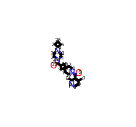 Cc1ccnc(C)c1C(=O)N1CCC2(CC1)CC(C(=O)N1CCN(C3CCC3)CC1)C2